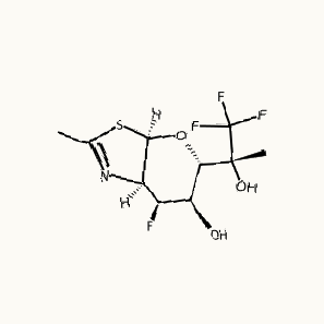 CC1=N[C@@H]2[C@H](F)[C@H](O)[C@@H]([C@@](C)(O)C(F)(F)F)O[C@@H]2S1